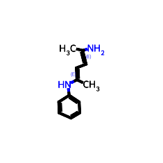 C/C(N)=C\C=C(/C)Nc1ccccc1